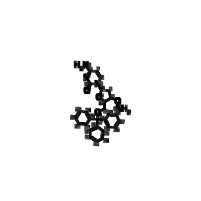 NOC1C[C@H](n2ccc(N)nc2=O)O[C@@H]1COC(c1ccccc1)(c1ccccc1)c1ccccc1